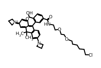 CC1(C)C2=CC(=[N+]3CCC3)C=CC2=C(c2cc(C(=O)NCCOCCOCCCCCCCl)ccc2C(=O)O)c2ccc(N3CCC3)cc21